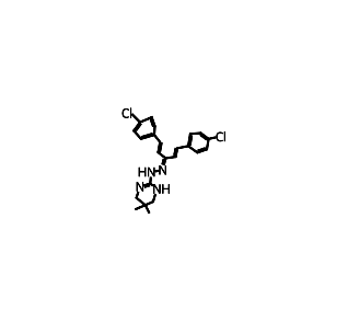 CC1(C)CN=C(NN=C(C=Cc2ccc(Cl)cc2)C=Cc2ccc(Cl)cc2)NC1